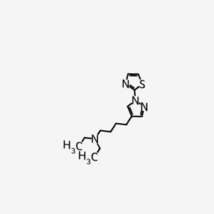 CCN(CC)CCCCc1cnn(-c2nccs2)c1